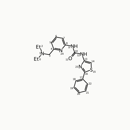 CCN(CC)Cc1cccc(NC(=O)Nc2csc(-c3ccccc3)n2)n1